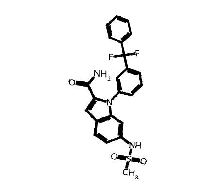 CS(=O)(=O)Nc1ccc2cc(C(N)=O)n(-c3cccc(C(F)(F)c4ccccc4)c3)c2c1